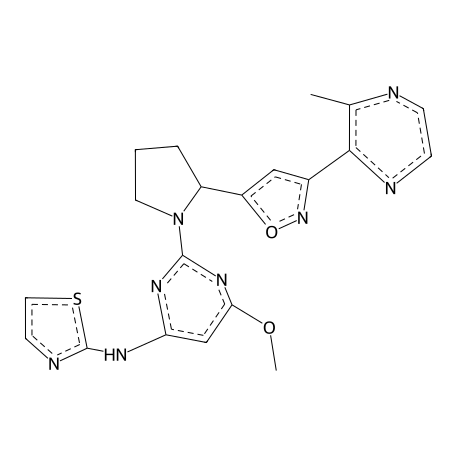 COc1cc(Nc2nccs2)nc(N2CCCC2c2cc(-c3nccnc3C)no2)n1